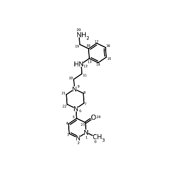 Cn1nccc(N2CCN(CCNc3ccccc3CN)CC2)c1=O